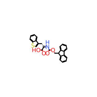 O=C(N[C@@H](Cc1csc2ccccc12)C(=O)O)OCC1c2ccccc2-c2ccccc21